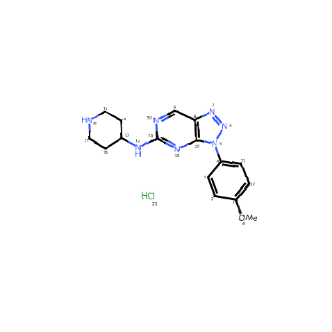 COc1ccc(-n2nnc3cnc(NC4CCNCC4)nc32)cc1.Cl